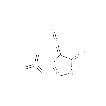 N=S(=O)=O.O=C=C1N=NNC1=O